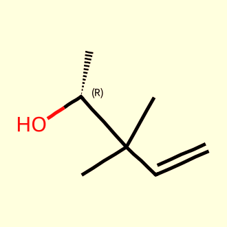 C=CC(C)(C)[C@@H](C)O